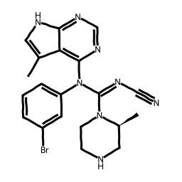 Cc1c[nH]c2ncnc(N(C(=NC#N)N3CCNC[C@@H]3C)c3cccc(Br)c3)c12